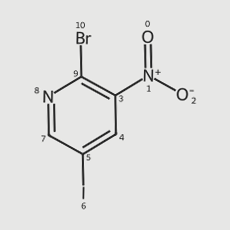 O=[N+]([O-])c1cc(I)cnc1Br